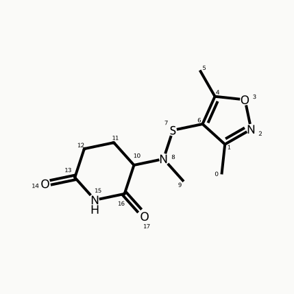 Cc1noc(C)c1SN(C)C1CCC(=O)NC1=O